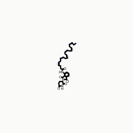 CC/C=C\C/C=C\C/C=C\C/C=C\C/C=C\C/C=C\CCC(=O)Nc1cccc2c1C(=O)N(C1CCC(=O)NC1=O)C2=O